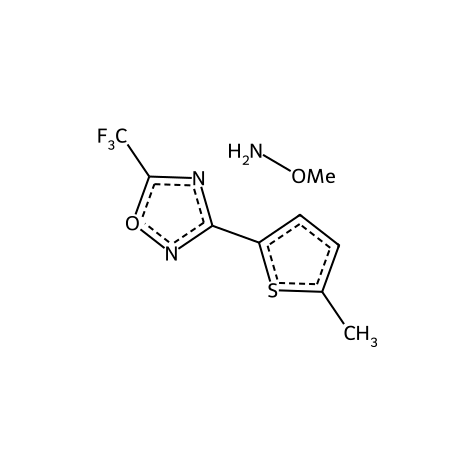 CON.Cc1ccc(-c2noc(C(F)(F)F)n2)s1